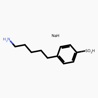 NCCCCCc1ccc(S(=O)(=O)O)cc1.[NaH]